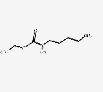 Cl.NCCCCNC(=O)OCC=O